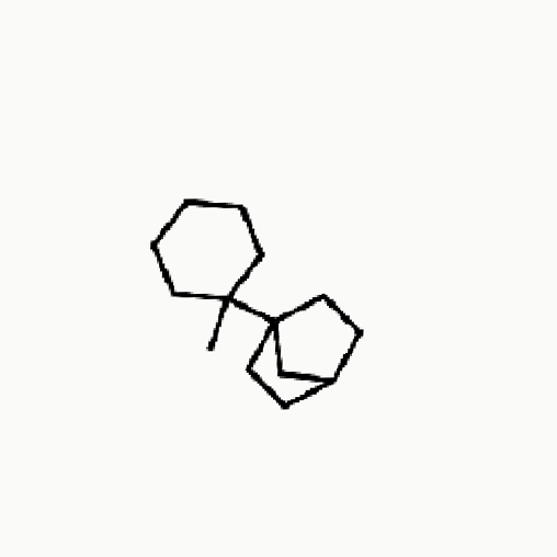 CC1(C23CCC(CC2)C3)CCCCC1